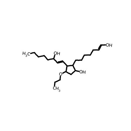 CCCCCC(O)/C=C/C1C(OCCC)CC(O)C1CCCCCC=CO